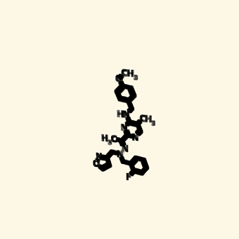 COc1ccc(CNc2nc(/C(C)=N/N(Cc3ccon3)Cc3ccccc3F)ncc2C)cc1